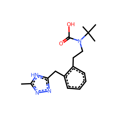 Cc1nnc(Cc2ccccc2CCN(C(=O)O)C(C)(C)C)[nH]1